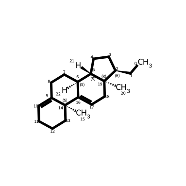 CC[C@@H]1CC[C@H]2[C@@H]3CCC4=CCCC[C@]4(C)C3=CC[C@]12C